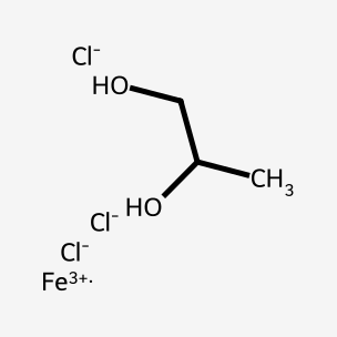 CC(O)CO.[Cl-].[Cl-].[Cl-].[Fe+3]